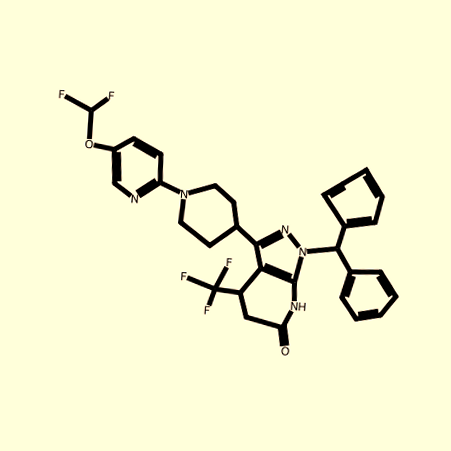 O=C1CC(C(F)(F)F)c2c(C3CCN(c4ccc(OC(F)F)cn4)CC3)nn(C(c3ccccc3)c3ccccc3)c2N1